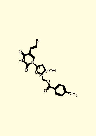 Cc1ccc(C(=O)OC[C@H]2O[C@@H](n3cc(C=CBr)c(=O)[nH]c3=O)C[C@@H]2O)cc1